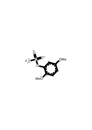 COc1ccc(OC)c(OS(=O)(=O)C(F)(F)F)c1